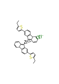 CCc1ccc(-c2ccc3c(c2)[C]([Zr+2][C]2=C4C=CC=CC4c4ccc(-c5ccc(CC)s5)cc42)=C2C=CC=CC23)s1.[Cl-].[Cl-]